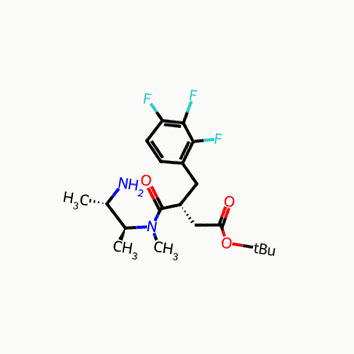 C[C@H](N)[C@H](C)N(C)C(=O)[C@@H](CC(=O)OC(C)(C)C)Cc1ccc(F)c(F)c1F